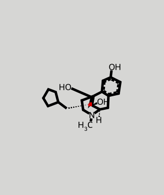 CN1CCC23CC(O)[C@@H](CC4CCCC4)C[C@@]2(O)[C@H]1Cc1ccc(O)cc13